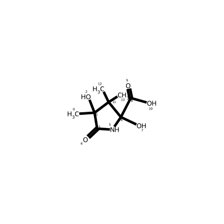 CC1(O)C(=O)NC(O)(C(=O)O)C1(C)C